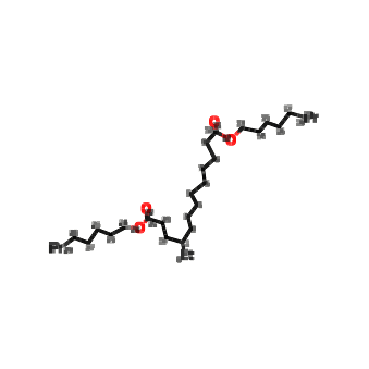 CCC(CCCCCCCCC(=O)OCCCCCC(C)C)CCC(=O)OCCCCCC(C)C